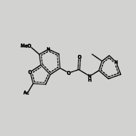 COc1ncc(OC(=O)Nc2ccncc2C)c2cc(C(C)=O)oc12